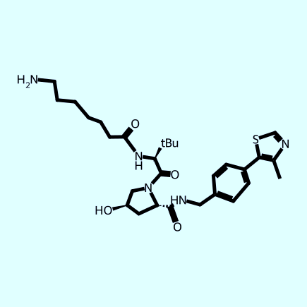 Cc1ncsc1-c1ccc(CNC(=O)[C@@H]2C[C@@H](O)CN2C(=O)[C@@H](NC(=O)CCCCCCN)C(C)(C)C)cc1